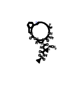 C=C[C@@H]1CC1(NC(=O)[C@@H]1C[C@@H]2CN1C(=O)[C@H](C(C)C)NCC(F)(F)CCC/C=C/c1cccc3c1CN(C3)C(=O)O2)C(=O)NS(=O)(=O)C1CC1